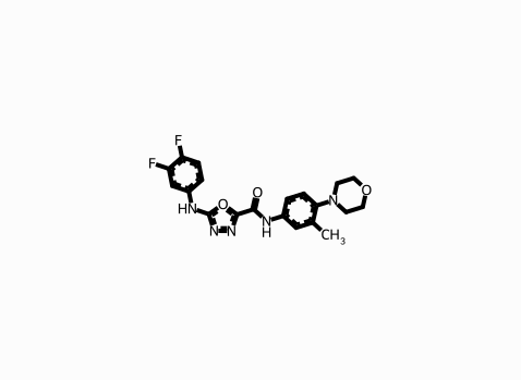 Cc1cc(NC(=O)c2nnc(Nc3ccc(F)c(F)c3)o2)ccc1N1CCOCC1